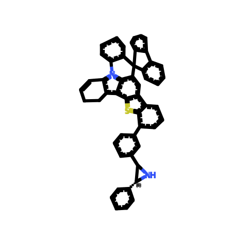 C1=Cc2c(c3c4sc5c(-c6cccc(C7N[C@@H]7c7ccccc7)c6)cccc5c4cc4c3n2-c2ccccc2C42c3ccccc3-c3ccccc32)CC1